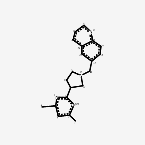 Cc1cc(C)nc(C2CCN(Cc3ccc4ncccc4c3)C2)n1